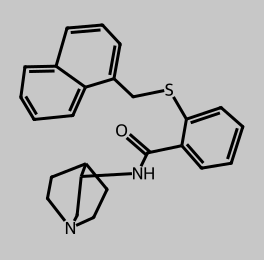 O=C(NC1CN2CCC1CC2)c1ccccc1SCc1cccc2ccccc12